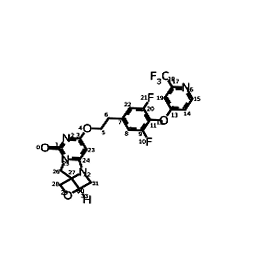 O=c1nc(OCCc2cc(F)c(Oc3ccnc(C(F)(F)F)c3)c(F)c2)cc2n1CC13CO[C@@H]1CN23